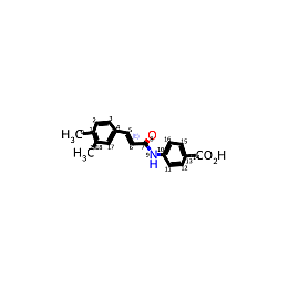 Cc1ccc(/C=C/C(=O)Nc2ccc(C(=O)O)cc2)cc1C